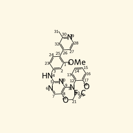 COc1cc(Nc2ncc3c(n2)N(c2ccccc2OC(F)(F)F)CCO3)ccc1-c1ccnc(C)c1